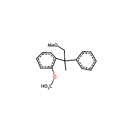 COCC(C)(c1ccccc1)c1ccccc1OC(=O)O